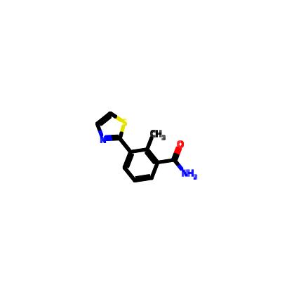 Cc1c(C(N)=O)cccc1-c1nccs1